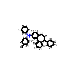 Cc1ccc(N(c2ccccc2)c2ccc3c(c2)-c2ccccc2C(c2ccccc2)CC3)cc1